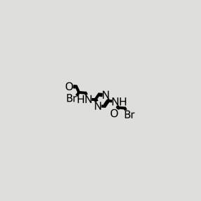 O=CC(Br)CNc1cnc(NC(=O)CBr)cn1